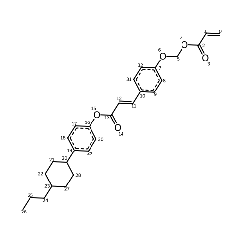 C=CC(=O)OCOc1ccc(C=CC(=O)Oc2ccc(C3CCC(CCC)CC3)cc2)cc1